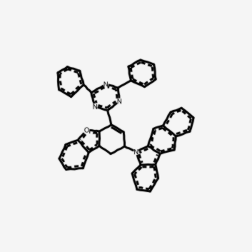 C1=C(c2nc(-c3ccccc3)nc(-c3ccccc3)n2)c2oc3ccccc3c2CC1n1c2ccccc2c2cc3ccccc3cc21